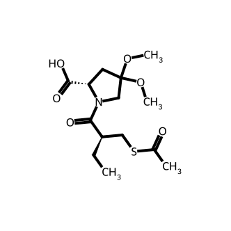 CC[C@H](CSC(C)=O)C(=O)N1CC(OC)(OC)C[C@H]1C(=O)O